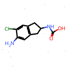 Nc1cc2c(cc1Cl)CC(NC(=O)O)C2